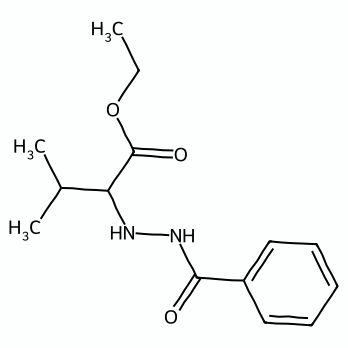 CCOC(=O)C(NNC(=O)c1ccccc1)C(C)C